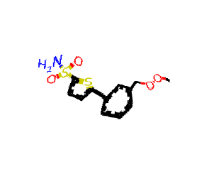 COOCc1cccc(-c2ccc(S(N)(=O)=O)s2)c1